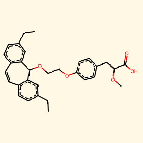 CCc1ccc2c(c1)C(OCCOc1ccc(CC(OC)C(=O)O)cc1)c1cc(CC)ccc1C=C2